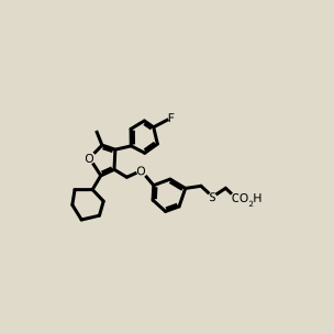 Cc1oc(C2CCCCC2)c(COc2cccc(CSCC(=O)O)c2)c1-c1ccc(F)cc1